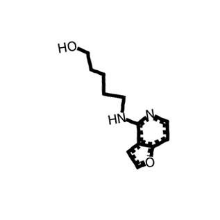 OCCCCCNc1nccc2occc12